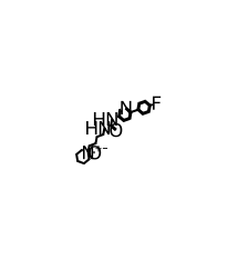 O=C(NCCCC[N+]1([O-])CCCCC1)Nc1ccc(-c2ccc(F)cc2)nc1